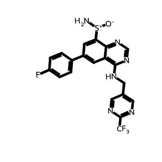 N[S+]([O-])c1cc(-c2ccc(F)cc2)cc2c(NCc3cnc(C(F)(F)F)nc3)ncnc12